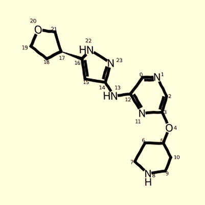 c1ncc(OC2CCNCC2)nc1Nc1cc([C@H]2CCOC2)[nH]n1